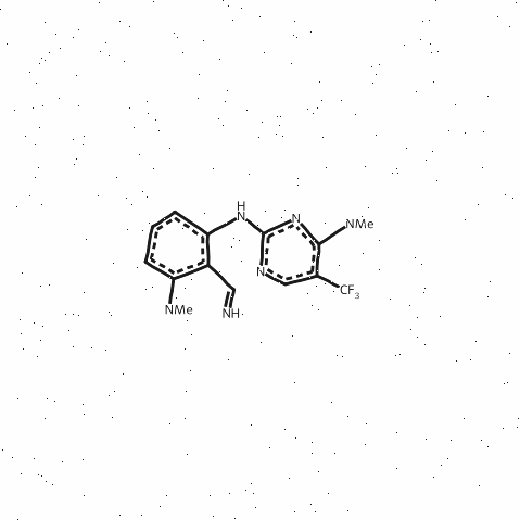 CNc1cccc(Nc2ncc(C(F)(F)F)c(NC)n2)c1C=N